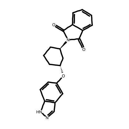 O=C1c2ccccc2C(=O)N1[C@@H]1CCC[C@@H](Oc2ccc3[nH]ncc3c2)C1